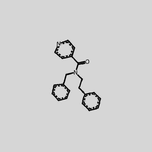 O=C(c1ccncc1)N(CCc1ccccc1)Cc1ccccc1